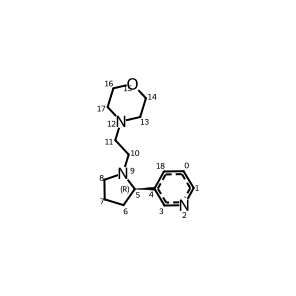 c1cncc([C@H]2CCCN2CCN2CCOCC2)c1